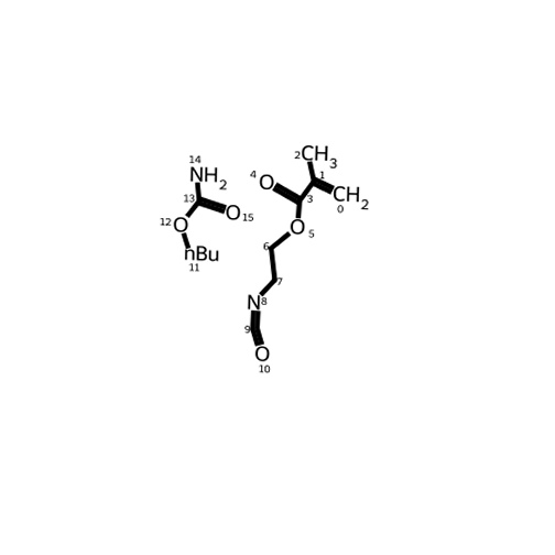 C=C(C)C(=O)OCCN=C=O.CCCCOC(N)=O